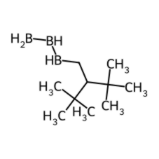 BBBCC(C(C)(C)C)C(C)(C)C